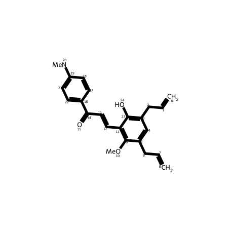 C=CCc1cc(CC=C)c(OC)c(/C=C/C(=O)c2ccc(NC)cc2)c1O